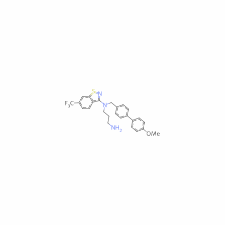 COc1ccc(-c2ccc(CN(CCCN)c3nsc4cc(C(F)(F)F)ccc34)cc2)cc1